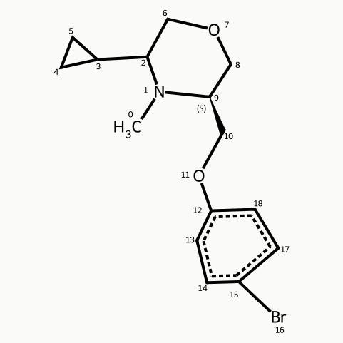 CN1C(C2CC2)COC[C@H]1COc1ccc(Br)cc1